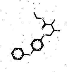 CCOC(=O)C(C)C(C)COc1ccc(Oc2ccccc2)cc1